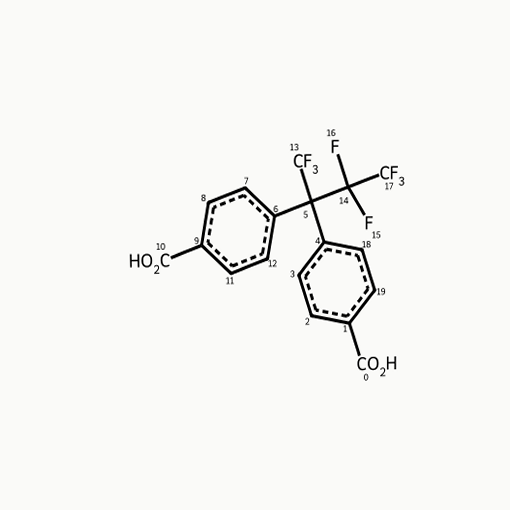 O=C(O)c1ccc(C(c2ccc(C(=O)O)cc2)(C(F)(F)F)C(F)(F)C(F)(F)F)cc1